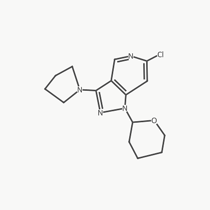 Clc1cc2c(cn1)c(N1CCCC1)nn2C1CCCCO1